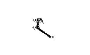 CCCCCCCCCCCCCCCCN(C)C(=O)OCCC[Si](Cl)(C(C)C)C(C)C